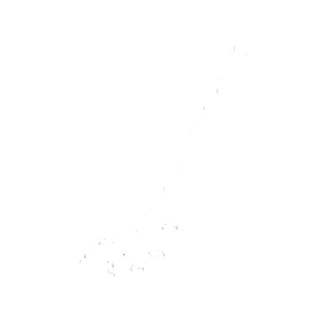 CCCCCCCCCCCCC[C@H](O)C[C@H](O)C(C)(C)NC